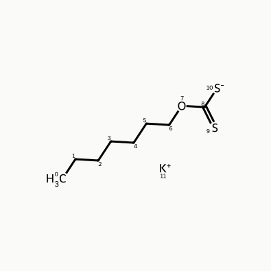 CCCCCCCOC(=S)[S-].[K+]